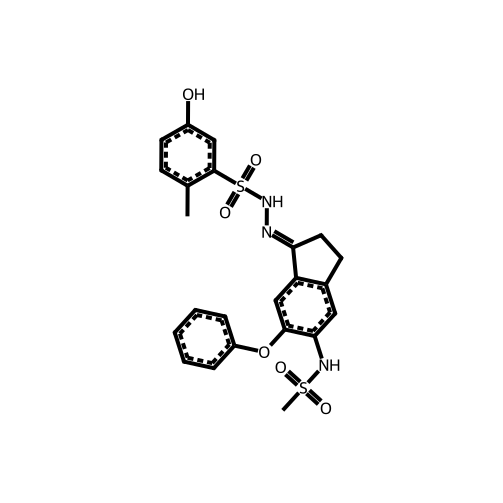 Cc1ccc(O)cc1S(=O)(=O)NN=C1CCc2cc(NS(C)(=O)=O)c(Oc3ccccc3)cc21